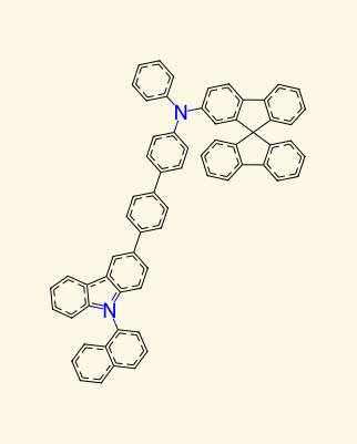 c1ccc(N(c2ccc(-c3ccc(-c4ccc5c(c4)c4ccccc4n5-c4cccc5ccccc45)cc3)cc2)c2ccc3c(c2)C2(c4ccccc4-c4ccccc42)c2ccccc2-3)cc1